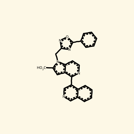 O=C(O)c1cc2c(-c3cncc4ccccc34)nccc2n1Cc1noc(-c2ccccc2)n1